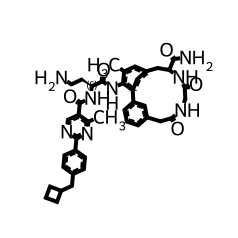 Cc1cc2cc(c1NC(=O)[C@H](CCN)NC(=O)c1cnc(-c3ccc(CC4CCC4)cc3)nc1C)-c1cccc(c1)CC(=O)NCC(=O)NC(C(N)=O)C2